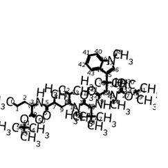 CCC[C@@H](NC(=O)C(C)C[C@@H](C(C)C)N(C)C(=O)[C@@H](NC(=O)[C@@H](N(C)C(=O)OC(C)(C)C)C(C)(C)c1cn(C)c2ccccc12)C(C)(C)C)C(=O)OC(C)(C)C